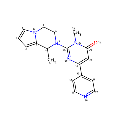 CC1c2cccn2CCN1c1nc(-c2ccncc2)cc(=O)n1C